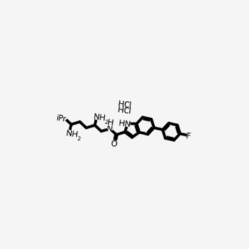 CC(C)C(N)CCC(N)CNC(=O)c1cc2cc(-c3ccc(F)cc3)ccc2[nH]1.Cl.Cl